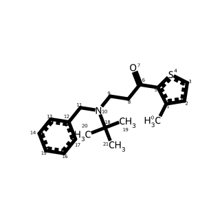 Cc1ccsc1C(=O)CCN(Cc1ccccc1)C(C)(C)C